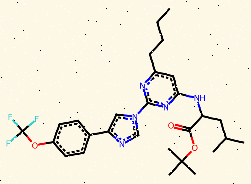 CCCCc1cc(NC(CC(C)C)C(=O)OC(C)(C)C)nc(-n2cnc(-c3ccc(OC(F)(F)F)cc3)c2)n1